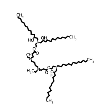 CCCCCCCCCCCCCN(CCOC(=O)CCN(CC)CCCCN(CC)CCC(=O)OCCN(CC(O)CCCCCCCCCCC)CC(O)CCCCCCCCCCC)CC(O)CCCCCCCCCCC